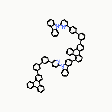 c1cc(-c2ccc(-n3c4ccccc4c4cc(-c5cccc6c7ccc(-c8cccc(-c9ccc(-c%10cccc(-n%11c%12ccccc%12c%12ccccc%12%11)n%10)cc9)c8)cc7c7ccccc7c56)ccc43)nc2)cc(-c2cccc(-c3ccc4c5ccccc5c5ccccc5c4c3)c2)c1